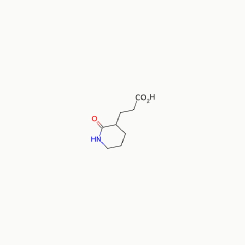 O=C(O)CCC1CCCNC1=O